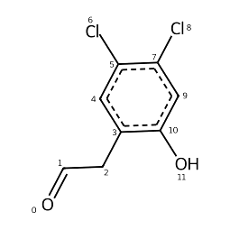 O=CCc1cc(Cl)c(Cl)cc1O